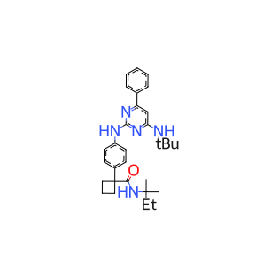 CCC(C)(C)NC(=O)C1(c2ccc(Nc3nc(NC(C)(C)C)cc(-c4ccccc4)n3)cc2)CCC1